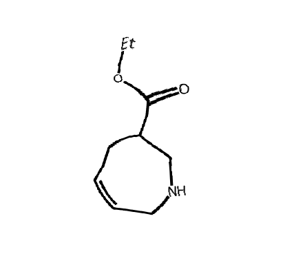 CCOC(=O)C1CC=CCNC1